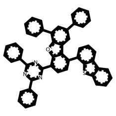 c1ccc(-c2cc(-c3ccccc3)c3oc4c(-c5nc(-c6ccccc6)nc(-c6ccccc6)n5)ccc(-c5cccc6c5sc5ccccc56)c4c3c2)cc1